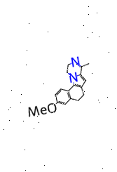 COc1ccc2c(c1)CCc1cc3n(c1-2)CCN=C3C